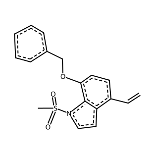 C=Cc1ccc(OCc2ccccc2)c2c1ccn2S(C)(=O)=O